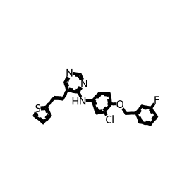 Fc1cccc(COc2ccc(Nc3ncncc3/C=C/c3cccs3)cc2Cl)c1